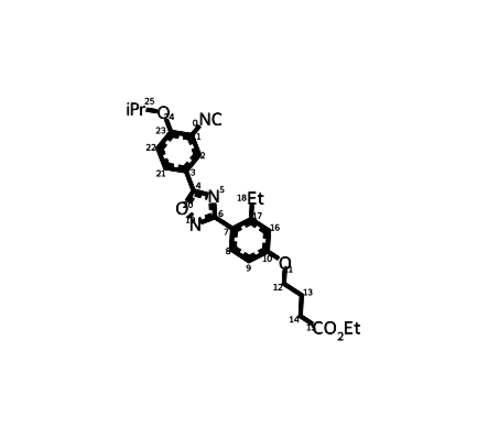 [C-]#[N+]c1cc(-c2nc(-c3ccc(OCCCC(=O)OCC)cc3CC)no2)ccc1OC(C)C